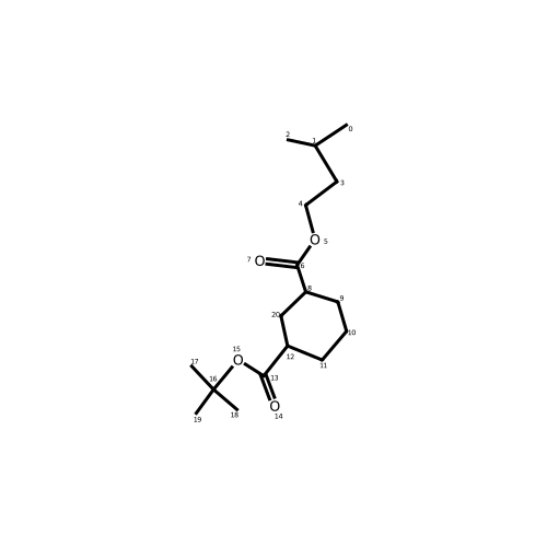 CC(C)CCOC(=O)C1CCCC(C(=O)OC(C)(C)C)C1